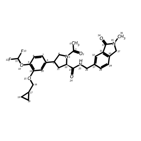 CC(=O)N1CC(c2ccc(OC(F)F)c(OCC3CC3)c2)C[C@@H]1C(=O)NCc1ccc2c(c1)C(=O)N(C)C2